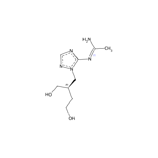 C/C(N)=N/c1ncnn1C[C@H](CO)CCO